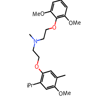 COc1cc(C(C)C)c(OCCN(C)CCOc2c(OC)cccc2OC)cc1C